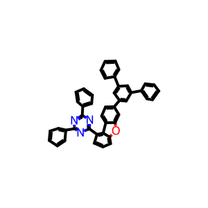 c1ccc(-c2cc(-c3ccccc3)cc(-c3ccc4c(c3)oc3cccc(-c5nc(-c6ccccc6)nc(-c6ccccc6)n5)c34)c2)cc1